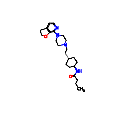 CCCC(=O)N[C@H]1CC[C@H](CCN2CCN(c3nccc4c3OCC4)CC2)CC1